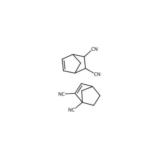 N#CC1=CC2CCC1(C#N)C2.N#CC1C2C=CC(C2)C1C#N